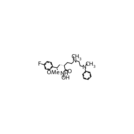 CO[C@H](C[C@H](CCN(C)CCN(C)c1ccccc1)C(=O)NO)c1ccc(F)cc1